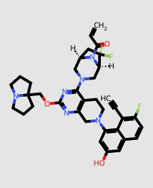 C#Cc1c(F)ccc2cc(O)cc(N3CCc4c(nc(OCC56CCCN5CCC6)nc4N4C[C@H]5CC(F)(F)[C@@H](C4)N5C(=O)C=C)C3)c12